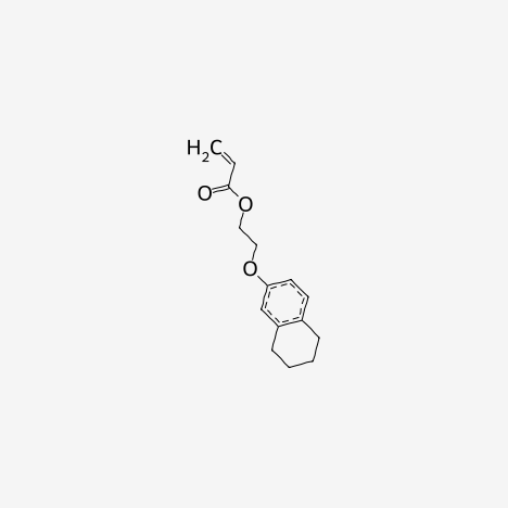 C=CC(=O)OCCOc1ccc2c(c1)CCCC2